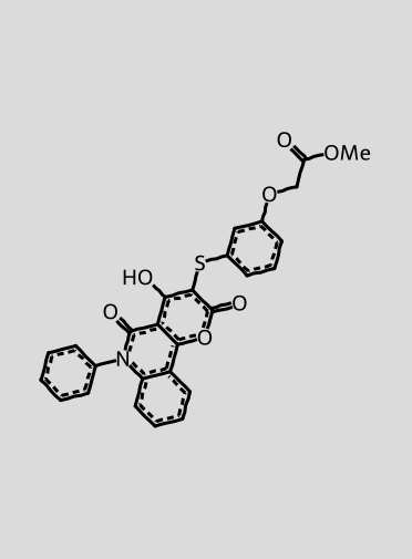 COC(=O)COc1cccc(Sc2c(O)c3c(=O)n(-c4ccccc4)c4ccccc4c3oc2=O)c1